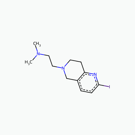 CN(C)CCN1CCc2nc(I)ccc2C1